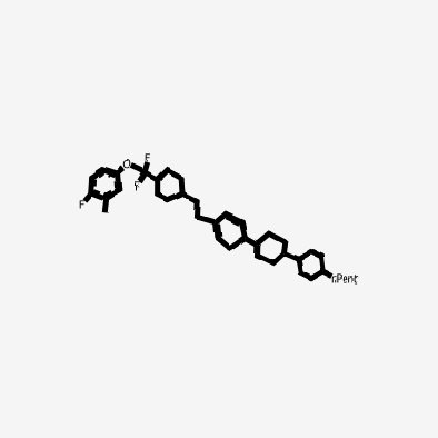 CCCCCC1CCC(C2CCC(C3C=CC(CCC4CCC(C(F)(F)Oc5ccc(F)c(C)c5)CC4)=CC3)CC2)CC1